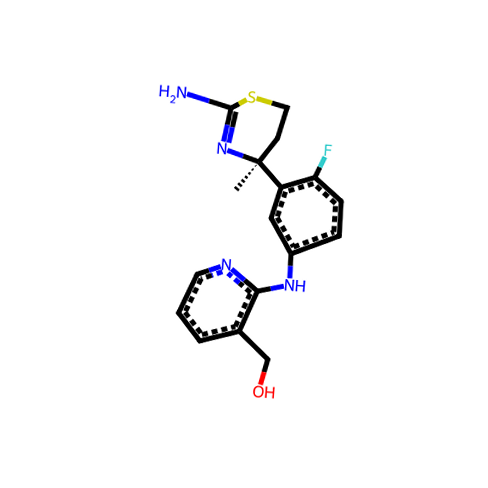 C[C@@]1(c2cc(Nc3ncccc3CO)ccc2F)CCSC(N)=N1